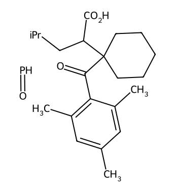 Cc1cc(C)c(C(=O)C2(C(CC(C)C)C(=O)O)CCCCC2)c(C)c1.O=P